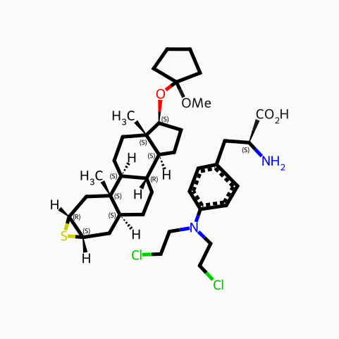 COC1(O[C@H]2CC[C@H]3[C@@H]4CC[C@H]5C[C@@H]6S[C@@H]6C[C@]5(C)[C@H]4CC[C@]23C)CCCC1.N[C@@H](Cc1ccc(N(CCCl)CCCl)cc1)C(=O)O